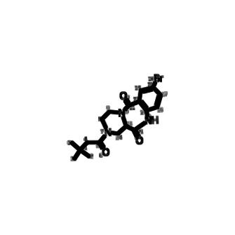 CC(C)(C)CC(=O)N1CCN2C(=O)c3cc(Br)ccc3NC(=O)C2C1